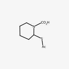 CC(=O)SC1CCCCN1C(=O)O